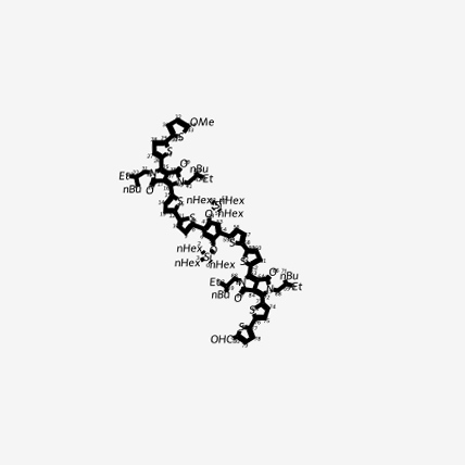 CCCCCC[Si](CCCCCC)(CCCCCC)Oc1cc(-c2ccc(-c3ccc(C4=C5C(=O)N(CC(CC)CCCC)C(c6ccc(-c7ccc(OC)s7)s6)=C5C(=O)N4CC(CC)CCCC)s3)s2)c(O[Si](CCCCCC)(CCCCCC)CCCCCC)cc1-c1ccc(-c2ccc(C3=C4C(=O)N(CC(CC)CCCC)C(c5ccc(-c6ccc(C=O)s6)s5)=C4C(=O)N3CC(CC)CCCC)s2)s1